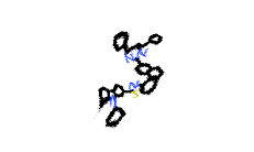 c1ccc(-c2cc(-c3ccccc3)nc(-c3ccc4c(ccc5ccc6sc(-c7ccc8c9ccccc9n(-c9ccccc9)c8c7)nc6c54)c3)n2)cc1